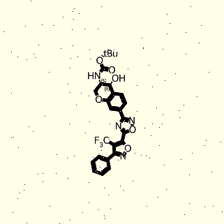 CC(C)(C)OC(=O)N[C@H]1COc2cc(-c3noc(-c4onc(-c5ccccc5)c4C(F)(F)F)n3)ccc2[C@H]1O